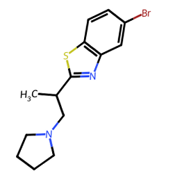 CC(CN1CCCC1)c1nc2cc(Br)ccc2s1